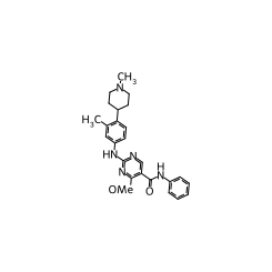 COc1nc(Nc2ccc(C3CCN(C)CC3)c(C)c2)ncc1C(=O)Nc1ccccc1